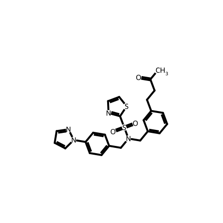 CC(=O)CCc1cccc(CN(Cc2ccc(-n3cccn3)cc2)S(=O)(=O)c2nccs2)c1